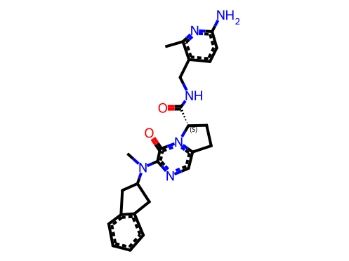 Cc1nc(N)ccc1CNC(=O)[C@@H]1CCc2cnc(N(C)C3Cc4ccccc4C3)c(=O)n21